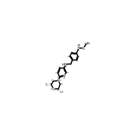 CC(C)SNc1ccc(CNc2ccc(N3C[C@@H](C)O[C@@H](C)C3)nc2)cc1